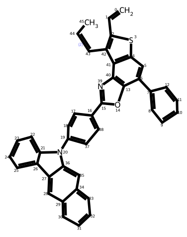 C=Cc1sc2cc(-c3ccccc3)c3oc(-c4ccc(-n5c6ccccc6c6cc7ccccc7cc65)cc4)nc3c2c1/C=C\C